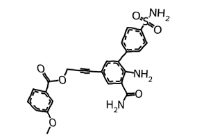 COc1cccc(C(=O)OCC#Cc2cc(C(N)=O)c(N)c(-c3ccc(S(N)(=O)=O)cc3)c2)c1